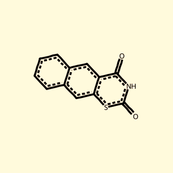 O=c1[nH]c(=O)c2cc3ccccc3cc2s1